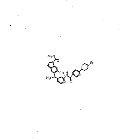 CCN1CCC(c2ccc(C(=O)Nc3cc(N(C)c4cc5ccn(C(=O)NC)c5cc4C)ccn3)cn2)CC1